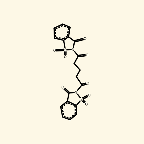 O=C(CCCC(=O)N1C(=O)c2ccccc2S1(=O)=O)N1C(=O)c2ccccc2S1(=O)=O